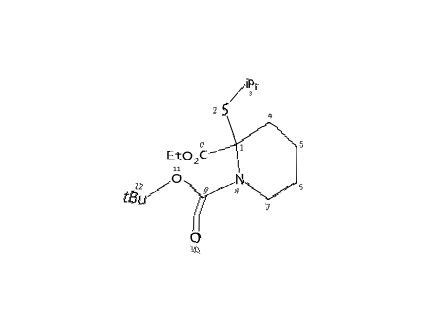 CCOC(=O)C1(SC(C)C)CCCCN1C(=O)OC(C)(C)C